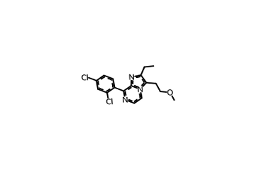 CCc1nc2c(-c3ccc(Cl)cc3Cl)nccn2c1CCOC